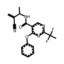 C=C(C#N)C(C)NC(=O)c1cnc(C(C)(F)F)nc1Oc1ccccc1